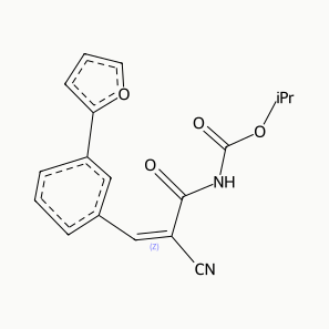 CC(C)OC(=O)NC(=O)/C(C#N)=C\c1cccc(-c2ccco2)c1